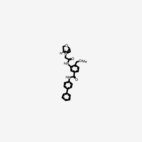 COCc1ccc(C(=O)Nc2ccc(-c3ccccc3)cc2)cc1NC(=O)CN1CC2C[C@H]1CO2